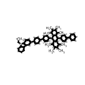 CCn1c2ccccc2c2cc(-c3ccc(-c4ccc(-c5c6c(C)c(C)c(C)c(C)c6c(-c6ccc(-c7ccccc7)cc6)c6c(C)c(C)c(C)c(C)c56)cc4)cc3)ccc21